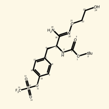 CC(C)(C)OC(=O)N[C@@H](Cc1ccc(OS(=O)(=O)C(F)(F)F)cc1)/C(N)=N/OCCO